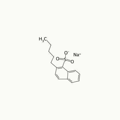 CCCCCc1ccc2ccccc2c1S(=O)(=O)[O-].[Na+]